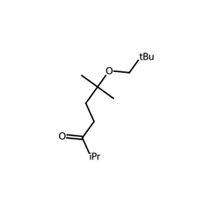 CC(C)C(=O)CCC(C)(C)OCC(C)(C)C